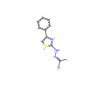 CCC(C)=NNc1nc(-c2ccccc2)cs1